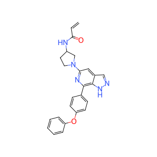 C=CC(=O)NC1CCN(c2cc3cn[nH]c3c(-c3ccc(Oc4ccccc4)cc3)n2)C1